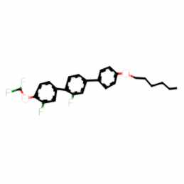 CCCCCCOc1ccc(-c2ccc(-c3ccc(OC(F)F)c(F)c3)c(F)c2)cc1